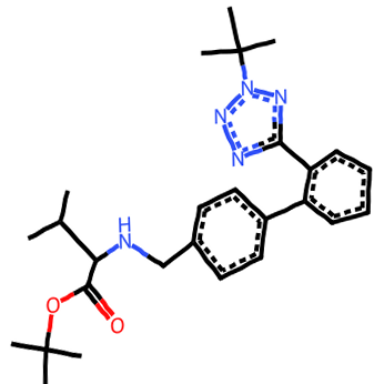 CC(C)C(NCc1ccc(-c2ccccc2-c2nnn(C(C)(C)C)n2)cc1)C(=O)OC(C)(C)C